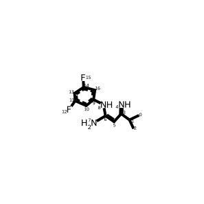 CC(C)C(=N)/C=C(/N)Nc1cc(F)cc(F)c1